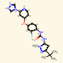 Cn1nc(C(C)(C)C)cc1NC(=O)Nc1ccc(Oc2ccnc(-n3cnnc3)c2)cc1F